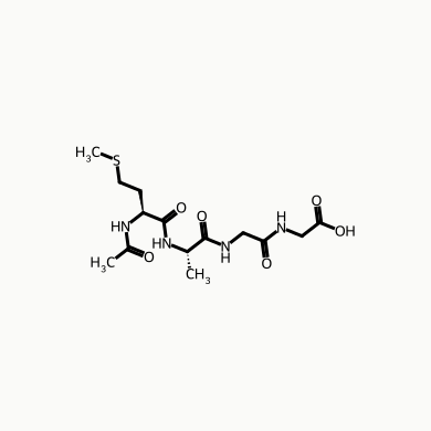 CSCC[C@H](NC(C)=O)C(=O)N[C@@H](C)C(=O)NCC(=O)NCC(=O)O